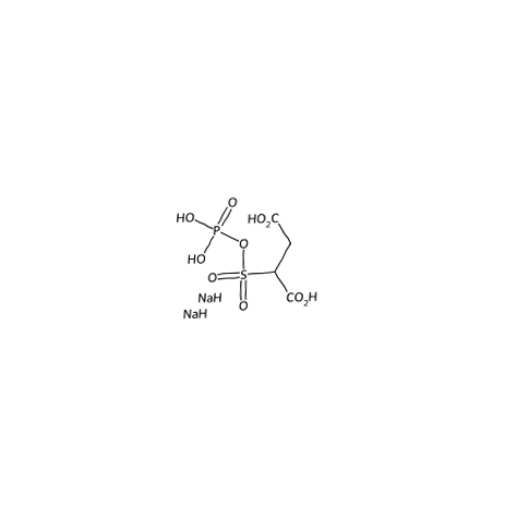 O=C(O)CC(C(=O)O)S(=O)(=O)OP(=O)(O)O.[NaH].[NaH]